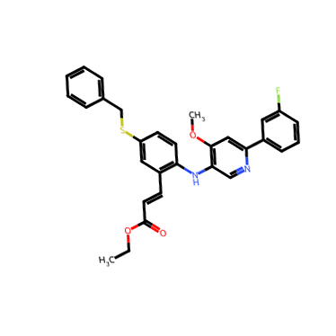 CCOC(=O)C=Cc1cc(SCc2ccccc2)ccc1Nc1cnc(-c2cccc(F)c2)cc1OC